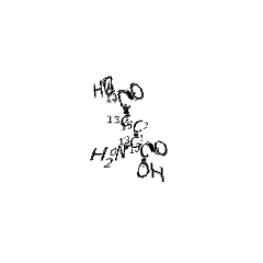 N[13C@@H]([13CH2][13CH2][13C](=O)O)[13C](=O)O